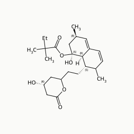 CCC(C)(C)C(=O)O[C@@]1(O)C[C@@H](C)C=C2C=CC(C)[C@H](CCC3C[C@@H](O)CC(=O)O3)[C@H]21